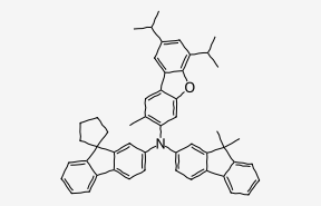 Cc1cc2c(cc1N(c1ccc3c(c1)C(C)(C)c1ccccc1-3)c1ccc3c(c1)C1(CCCC1)c1ccccc1-3)oc1c(C(C)C)cc(C(C)C)cc12